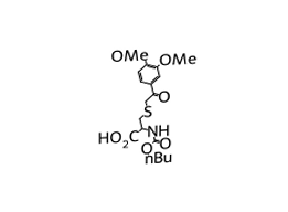 CCCCOC(=O)NC(CSCC(=O)c1ccc(OC)c(OC)c1)C(=O)O